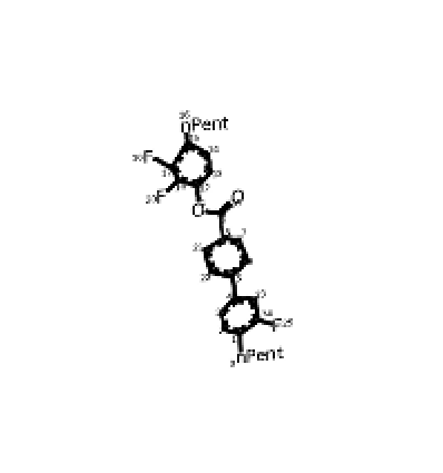 CCCCCc1ccc(-c2ccc(C(=O)Oc3ccc(CCCCC)c(F)c3F)cc2)cc1F